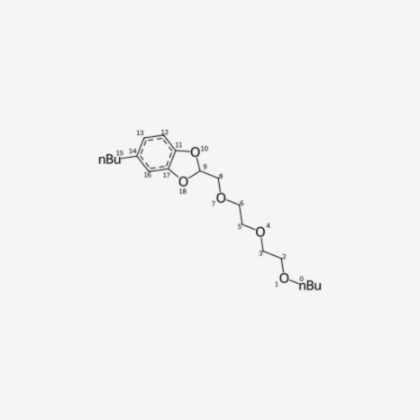 CCCCOCCOCCOCC1Oc2ccc(CCCC)cc2O1